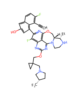 C#Cc1c(F)ccc2cc(O)cc(-c3nc4c5c(nc(OCC6(CN7CC[C@H](C(F)(F)F)C7)CC6)nc5c3F)N3CCN[C@@H](CC)[C@H]3CO4)c12